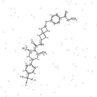 COC(=O)c1ccc(CN2CC3(CC(NC(=O)N4[C@H](C)CN(c5ncc(C(F)(F)F)cn5)C[C@@H]4C)C3)C2)cc1